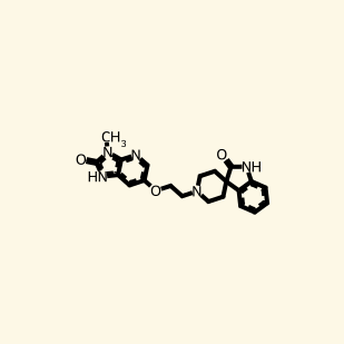 Cn1c(=O)[nH]c2cc(OCCN3CCC4(CC3)C(=O)Nc3ccccc34)cnc21